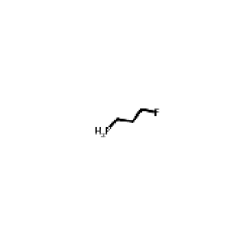 FCCCP